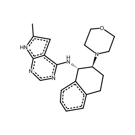 Cc1cc2c(N[C@H]3c4ccccc4CC[C@@H]3N3CCOCC3)ncnc2[nH]1